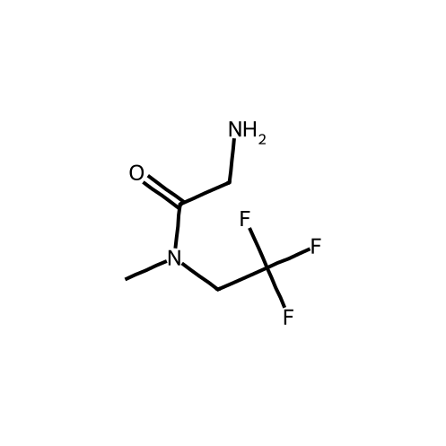 CN(CC(F)(F)F)C(=O)CN